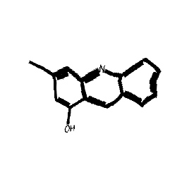 Cc1cc(O)c2cc3ccccc3nc2c1